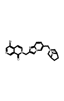 CN1C2CCC1CN(Cc1ccc3nc(Cn4ccc5c(Br)cncc5c4=O)cn3c1)C2